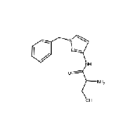 NC(CO)C(=O)Nc1ccn(Cc2ccccc2)n1